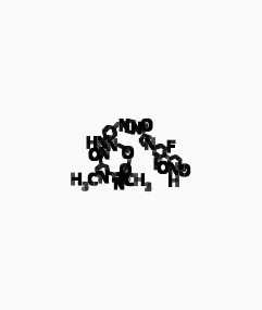 Cc1cc2cc(n1)-c1cnn(C)c1OCCOCCN1/C(=N/C2=O)Nc2ccc(CN3CCN(C(=O)[C@@H]4CCN(c5cc(F)c([C@H]6CCC(=O)NC6=O)c(F)c5)C4)CC3)cc21